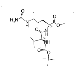 COC(=O)[C@H](CCCNC(N)=O)NC(=O)[C@@H](NC(=O)OC(C)(C)C)C(C)C